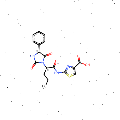 CCC[C@H](C(=O)Nc1nc(C(=O)O)cs1)N1C(=O)N[C@@H](c2ccccc2)C1=O